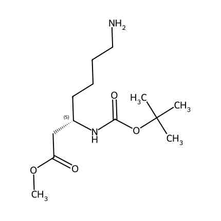 COC(=O)C[C@H](CCCCN)NC(=O)OC(C)(C)C